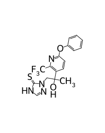 CC(O)(Cn1nc[nH]c1=S)c1ccc(Oc2ccccc2)nc1C(F)(F)F